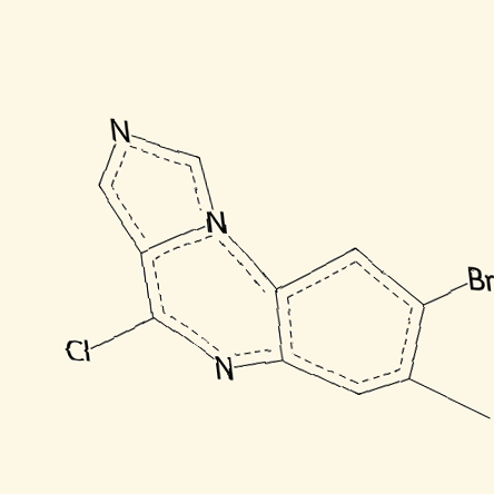 Cc1cc2nc(Cl)c3cncn3c2cc1Br